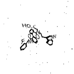 O=C(O)CCN(CCc1c[nH]c2ccccc12)C(=O)c1ccccc1-c1ccccc1C(=O)NCc1ccccc1F